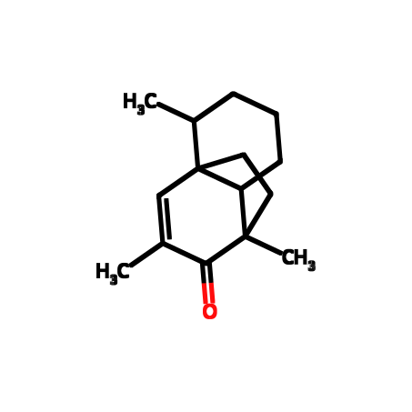 CC1=CC23CCC(C)(C1=O)C2CCCC3C